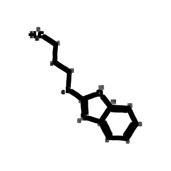 [CH2]CCCSc1nc2ccccc2o1